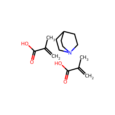 C1CN2CCC1CC2.C=C(C)C(=O)O.C=C(C)C(=O)O